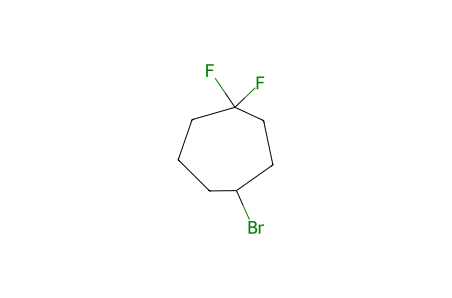 FC1(F)CCCC(Br)CC1